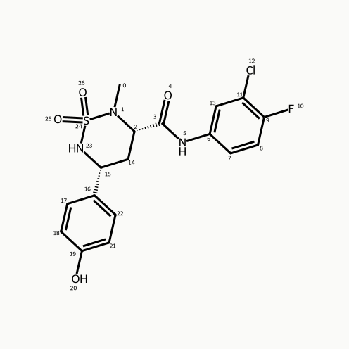 CN1[C@H](C(=O)Nc2ccc(F)c(Cl)c2)C[C@H](c2ccc(O)cc2)NS1(=O)=O